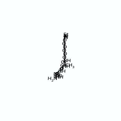 CCn1cc(COCCOCCOCCOCCOCCOCCNC(=O)CC[C@@H](C)NC(=O)c2ccc(NCc3cnc4nc(N)[nH]c(=O)c4n3)cc2)nn1